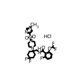 Cl.Cn1cnc(S(=O)(=O)N2CCN(C3(CNC(=O)c4c(F)cccc4OC(F)F)CCC(F)(F)CC3)CC2)c1